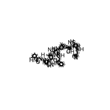 Cc1cccc2c1NC(=O)C2CCNc1ncc(C#N)c(N[C@@H]2CC[C@H](Oc3nc(NCCC4C(=O)Nc5ccccc54)nc(N[C@@H]4CC[C@H](OCC5(C)[C@@H](O)C[C@H]5Nc5nc(NCCc6cnoc6)ncc5C#N)C(C)(C)C4)c3C#N)C(C)(C)C2)n1